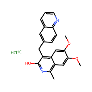 COc1cc2c(C)nc(O)c(Cc3ccc4ncccc4c3)c2cc1OC.Cl.Cl